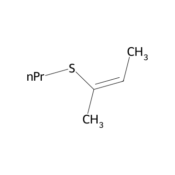 C/C=C(/C)SCCC